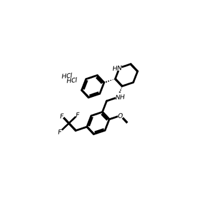 COc1ccc(CC(F)(F)F)cc1CN[C@H]1CCCN[C@H]1c1ccccc1.Cl.Cl